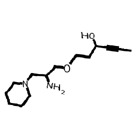 CC#CC(O)CCOCC(N)CN1CCCCC1